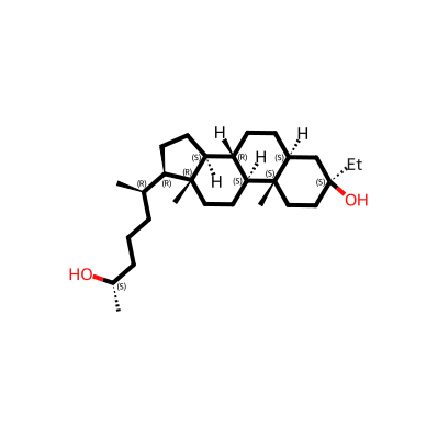 CC[C@]1(O)CC[C@@]2(C)[C@@H](CC[C@@H]3[C@@H]2CC[C@]2(C)[C@@H]([C@H](C)CCC[C@H](C)O)CC[C@@H]32)C1